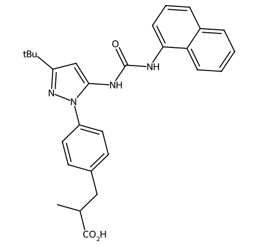 CC(Cc1ccc(-n2nc(C(C)(C)C)cc2NC(=O)Nc2cccc3ccccc23)cc1)C(=O)O